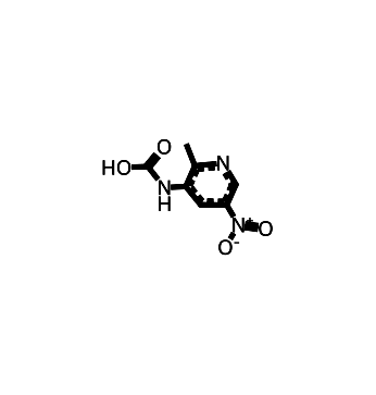 Cc1ncc([N+](=O)[O-])cc1NC(=O)O